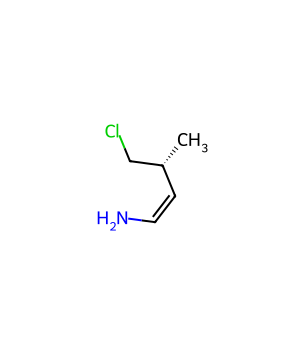 C[C@H](/C=C\N)CCl